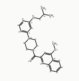 COc1cc(C(=O)N2CCN(c3cc(OCC(C)C)ncn3)CC2)nc2ccccc12